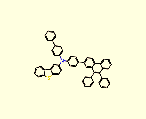 c1ccc(-c2ccc(N(c3ccc(-c4ccc5c(c4)c(-c4ccccc4)c(-c4ccccc4)c4ccccc45)cc3)c3ccc4sc5ccccc5c4c3)cc2)cc1